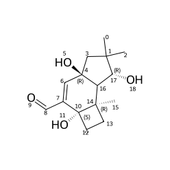 CC1(C)C[C@@]2(O)C=C(C=O)[C@]3(O)[C]C[C@]3(C)C2[C@H]1O